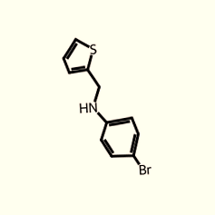 Brc1ccc(NCc2cccs2)cc1